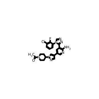 CC(=O)N1CCC(n2cc(-c3cnc(N)c(-c4nncn4-c4cccc(Cl)c4F)c3)cn2)CC1